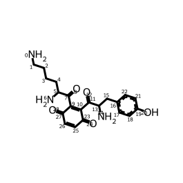 NCCCCC(N)C(=O)C1=C(C(=O)C(N)Cc2ccc(O)cc2)C(=O)C=CC1=O